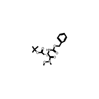 CON(C)C(=O)[C@H](CC(=O)OC(C)(C)C)NC(=O)OCc1ccccc1